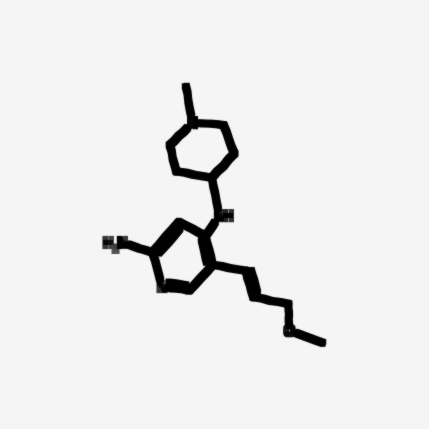 COCC=Cc1cnc(N)cc1NC1CCN(C)CC1